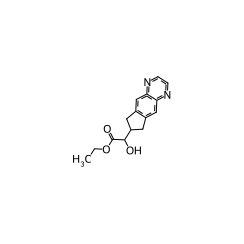 CCOC(=O)C(O)C1Cc2cc3nccnc3cc2C1